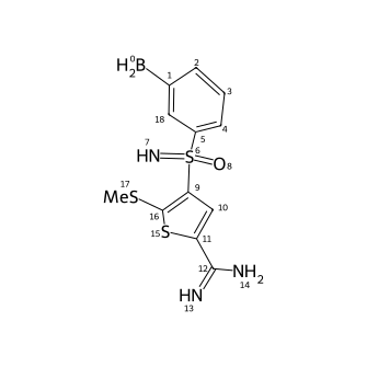 Bc1cccc(S(=N)(=O)c2cc(C(=N)N)sc2SC)c1